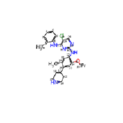 Cc1ccccc1Nc1nc(Nc2cc(C)c(C3CCNCC3)cc2OC(C)C)ncc1Cl